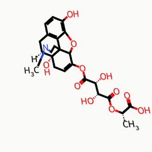 C[C@H](OC(=O)[C@H](O)[C@@H](O)C(=O)OC1=CC[C@@]2(O)[C@H]3Cc4ccc(O)c5c4C2(CCN3C)C1O5)C(=O)O